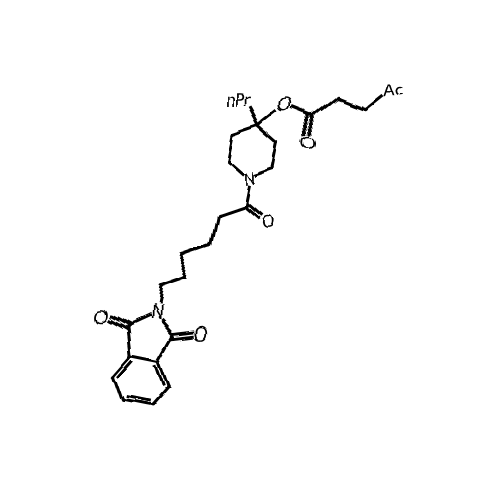 CCCC1(OC(=O)CCC(C)=O)CCN(C(=O)CCCCCN2C(=O)c3ccccc3C2=O)CC1